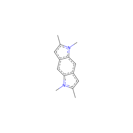 Cc1cc2cc3c(cc(C)n3C)cc2n1C